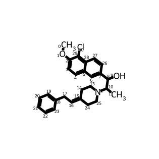 COc1ccc2cc(C(O)C(C)N3CCC(=CCc4ccccc4)CC3)ccc2c1Cl